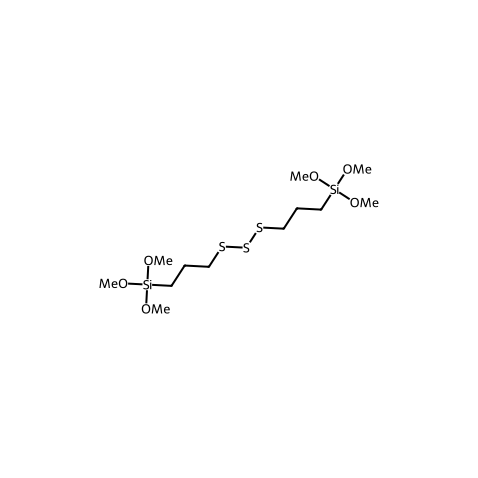 CO[Si](CCCSSSCCC[Si](OC)(OC)OC)(OC)OC